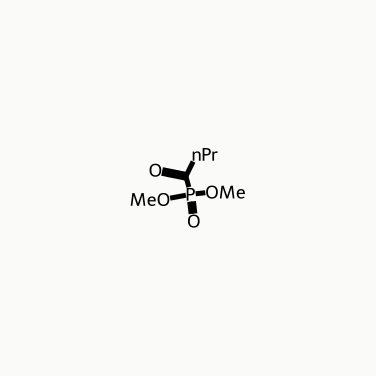 CCCC(=O)P(=O)(OC)OC